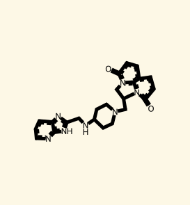 O=c1ccc2ccc(=O)n3c2n1CC3CN1CCC(NCc2nc3cccnc3[nH]2)CC1